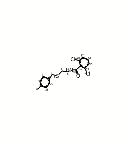 Cc1ccc(CSCCNC(=O)c2c(Cl)cccc2Cl)cc1